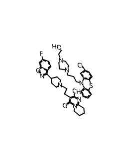 Cc1nc2n(c(=O)c1CCN1CCC(c3noc4cc(F)ccc34)CC1)CCCC2.OCCN1CCN(CCCN2c3ccccc3Sc3ccc(Cl)cc32)CC1